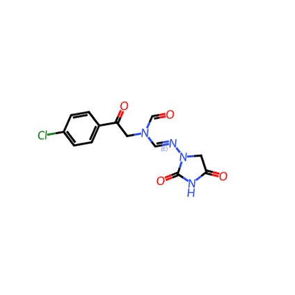 O=CN(/C=N/N1CC(=O)NC1=O)CC(=O)c1ccc(Cl)cc1